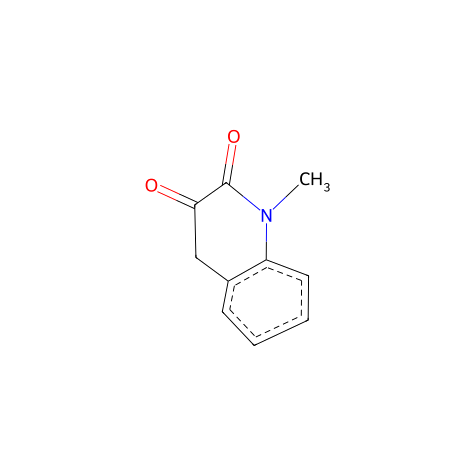 CN1C(=O)C(=O)Cc2ccccc21